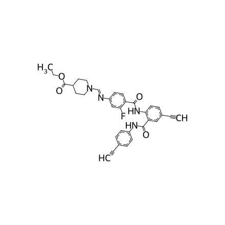 C#Cc1ccc(NC(=O)c2cc(C#C)ccc2NC(=O)c2ccc(N=CN3CCC(C(=O)OCC)CC3)cc2F)cc1